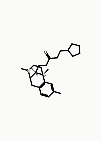 Cc1ccc2c(c1)[C@@]1(C)CCN(C)C(C2)[C@@]1(C)CCC(=O)CCC1CCCC1